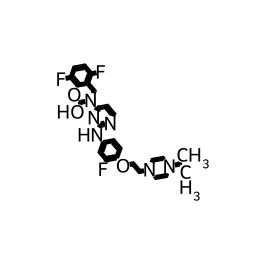 CC(C)N1CCN(CCOc2ccc(Nc3nccc(N(Cc4cc(F)ccc4F)C(=O)O)n3)cc2F)CC1